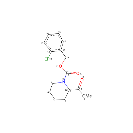 COC(=O)[C@@H]1CCCCN1C(=O)OCc1ccccc1Cl